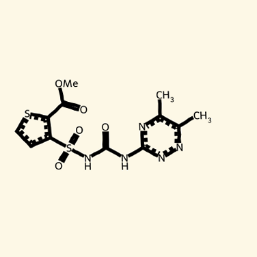 COC(=O)c1sccc1S(=O)(=O)NC(=O)Nc1nnc(C)c(C)n1